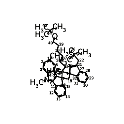 Cc1ccc2c(c1)c1c(n2C)-c2ccccc2C12CC1(C=C(C[Si](C)(C)C)c3ccccc31)[Si]2(C)CCCCCCOC(C)(C)C